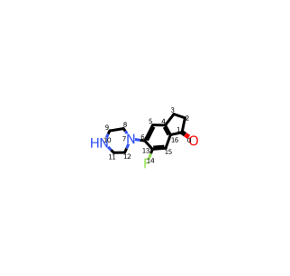 O=C1CCc2cc(N3CCNCC3)c(F)cc21